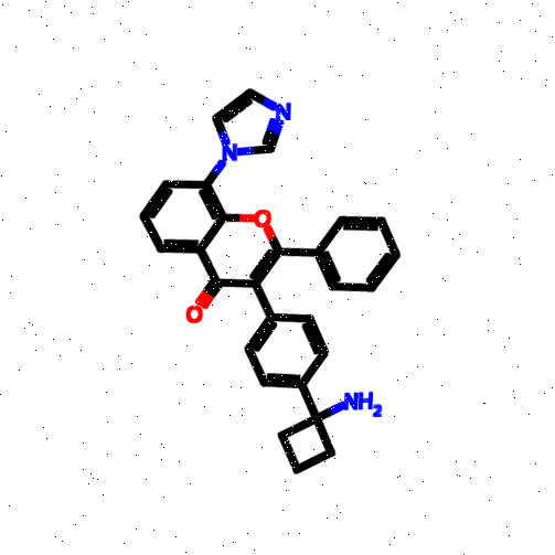 NC1(c2ccc(-c3c(-c4ccccc4)oc4c(-n5ccnc5)cccc4c3=O)cc2)CCC1